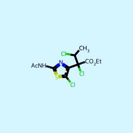 CCOC(=O)C(Cl)(c1nc(NC(C)=O)sc1Cl)C(C)Cl